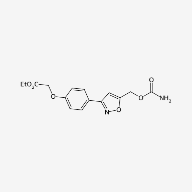 CCOC(=O)COc1ccc(-c2cc(COC(N)=O)on2)cc1